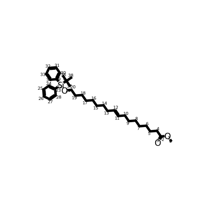 COC(=O)CCCCCCC/C=C/CCCCCCCCO[Si](c1ccccc1)(c1ccccc1)C(C)(C)C